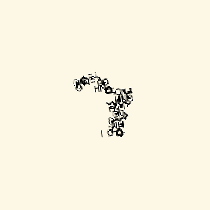 CC[C@H](C)[C@@H]([C@@H](CC(=O)N1CCC[C@H]1[C@H](OC)[C@@H](C)C(=O)N[C@H](C)[C@@H](O)c1ccccc1)OC)N(C)C(=O)[C@@H](NC(=O)C(C(C)C)N(C)C(=O)OCc1ccc(NC(=O)OC[C@@H](C)SSc2ccc([N+](=O)[O-])cn2)cc1)C(C)C